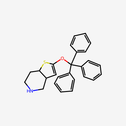 C1=C(OC(c2ccccc2)(c2ccccc2)c2ccccc2)SC2CCNCC12